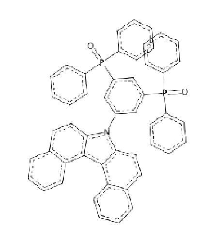 O=P(c1ccccc1)(c1ccccc1)c1cc(-n2c3ccc4ccccc4c3c3c4ccccc4ccc32)cc(P(=O)(c2ccccc2)c2ccccc2)c1